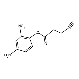 C#CCCC(=O)Oc1ccc([N+](=O)[O-])cc1[N+](=O)[O-]